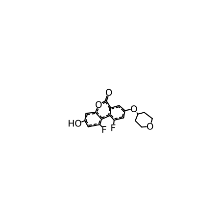 O=c1oc2cc(O)cc(F)c2c2c(F)cc(OC3CCOCC3)cc12